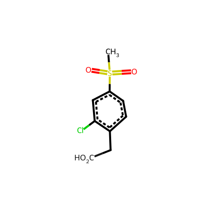 CS(=O)(=O)c1ccc(CC(=O)O)c(Cl)c1